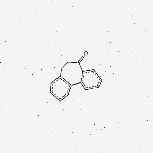 O=C1CCc2ccccc2-c2ccccc21